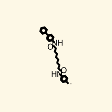 [CH2]c1ccc(NC(=O)CCCCCCCCC(=O)Nc2ccc(-c3ccccc3)cc2)cc1